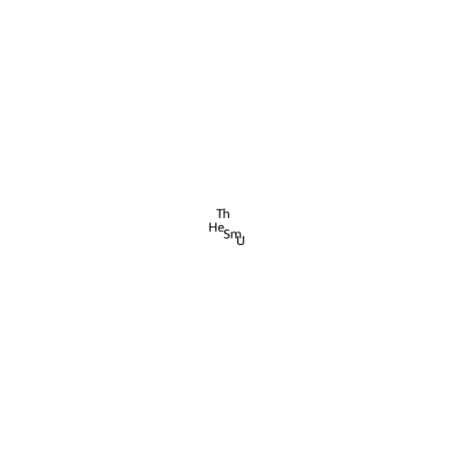 [He].[Sm].[Th].[U]